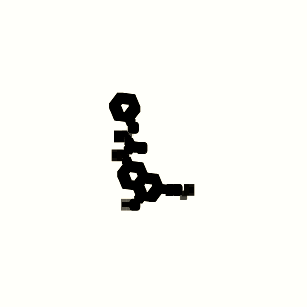 O=C(NOc1ccccc1)Nc1ccc2c(O)cc(S(=O)(=O)O)cc2c1